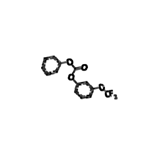 O=C(Oc1ccccc1)Oc1cccc(OC(F)(F)F)c1